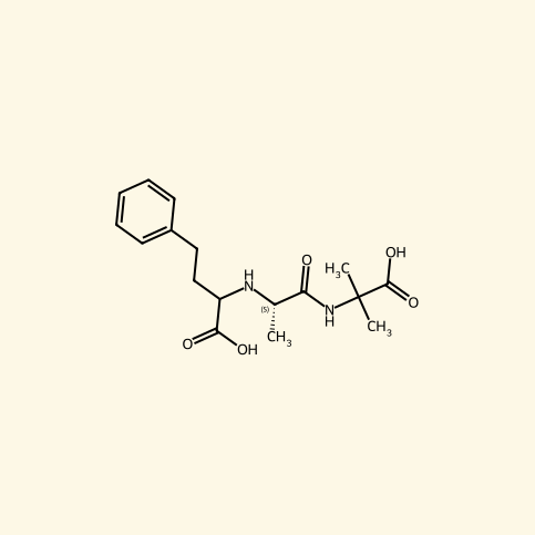 C[C@H](NC(CCc1ccccc1)C(=O)O)C(=O)NC(C)(C)C(=O)O